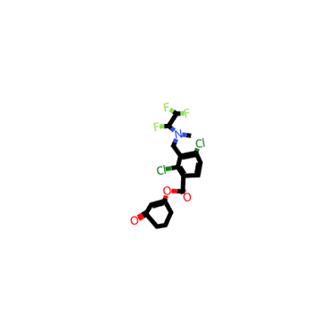 CN(Cc1c(Cl)ccc(C(=O)OC2=CC(=O)CCC2)c1Cl)C(F)C(F)F